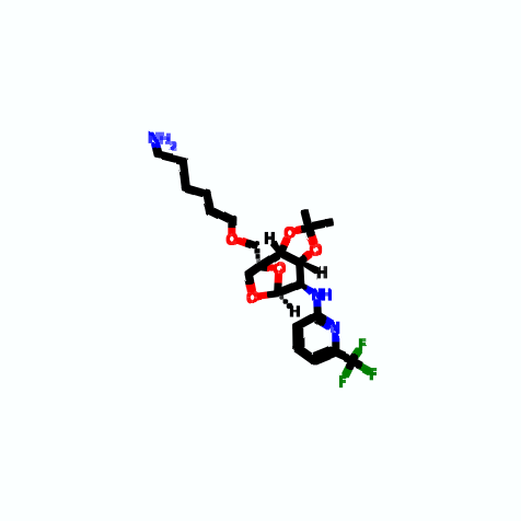 CC1(C)O[C@@H]2[C@@H](Nc3cccc(C(F)(F)F)n3)[C@H]3OC[C@](COCCCCCCN)(O3)[C@@H]2O1